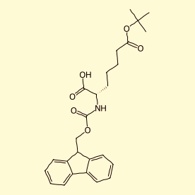 CC(C)(C)OC(=O)CCCC[C@H](NC(=O)OCC1c2ccccc2-c2ccccc21)C(=O)O